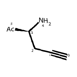 C#CC[C@H](N)C(C)=O